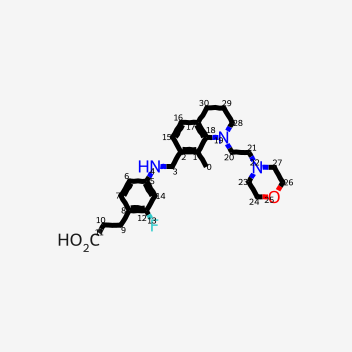 Cc1c(CNc2ccc(CCC(=O)O)c(F)c2)ccc2c1N(CCN1CCOCC1)CCC2